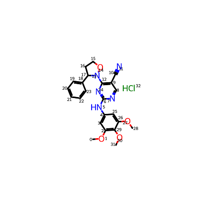 COc1cc(Nc2ncc(C#N)c(N3OCCC3c3ccccc3)n2)cc(OC)c1OC.Cl